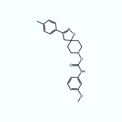 COc1cccc(NC(=O)ON2CCC3(CC2)CC(c2ccc(C)cc2)=NO3)c1